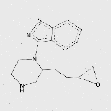 c1ccc2c(N3CCNCC3CCC3CO3)nsc2c1